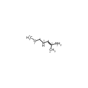 COCN/C=C(\C)N